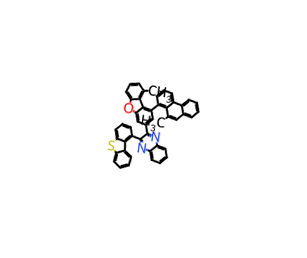 Cc1cc2ccccc2c2cccc(-c3cc(-c4nc5ccccc5nc4-c4cccc5sc6ccccc6c45)cc4oc5cccc(C)c5c34)c12